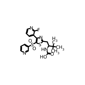 CC(C)(C)C(Cc1nc(-c2cccnc2F)c(S(=O)(=O)c2cccnc2)s1)NC(=O)O